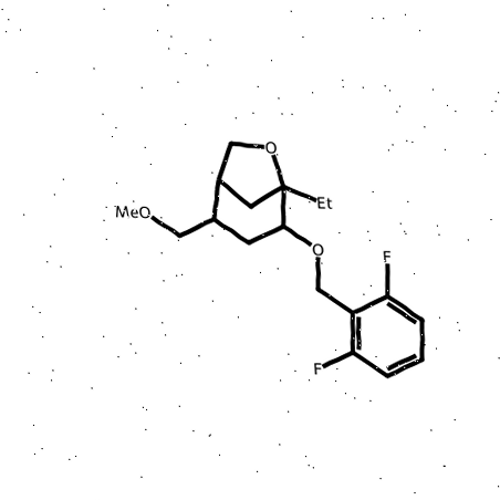 CCC12CC(CO1)C(COC)CC2OCc1c(F)cccc1F